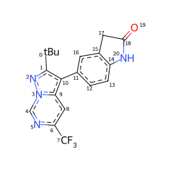 CC(C)(C)c1nn2cnc(C(F)(F)F)cc2c1-c1ccc2c(c1)CC(=O)N2